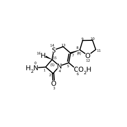 NC1C(=O)N2C(C(=O)O)=C([C@H]3CCCO3)CS[C@@H]12